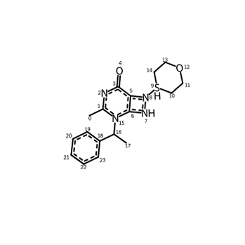 Cc1nc(=O)c2c([nH]n2[SH]2CCOCC2)n1C(C)c1ccccc1